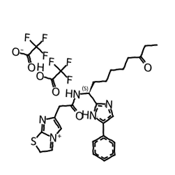 CCC(=O)CCCCC[C@H](NC(=O)CC1=C[N+]2=CCSC2=N1)c1ncc(-c2ccccc2)[nH]1.O=C(O)C(F)(F)F.O=C([O-])C(F)(F)F